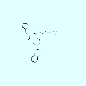 C[C@H](CCCCN(C)C)C(=O)N1CCN(C(=O)Oc2ccccc2Cl)C[C@H]1C(=O)NCc1cccs1